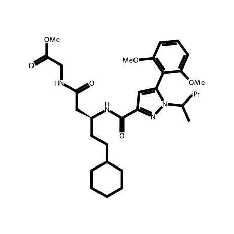 COC(=O)CNC(=O)C[C@H](CCC1CCCCC1)NC(=O)c1cc(-c2c(OC)cccc2OC)n(C(C)C(C)C)n1